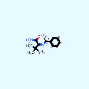 C[C@H](N=C(C(N)=O)C(C)(C)C)c1ccccc1